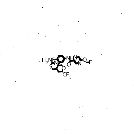 NC1=NC2(c3cc(NC(=O)c4cnc(OCF)cn4)ccc3F)COC(C(F)(F)F)CC2CS1